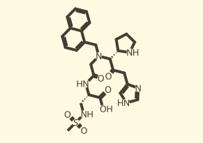 CS(=O)(=O)NC[C@H](NC(=O)CN(Cc1cccc2ccccc12)C(C(=O)Cc1c[nH]cn1)[C@@H]1CCCN1)C(=O)O